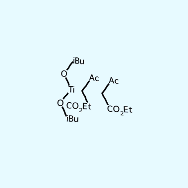 CCC(C)[O][Ti][O]C(C)CC.CCOC(=O)CC(C)=O.CCOC(=O)CC(C)=O